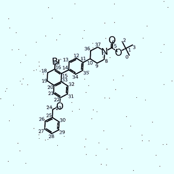 CC(C)(C)OC(=O)N1CCC(c2ccc(C3=C(Br)CCc4cc(OCc5ccccc5)ccc43)cc2)CC1